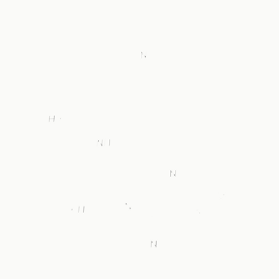 Cc1cc(C)c(-c2nc3[nH]ccc(=O)c3nc2-c2ccc3ncccc3c2)[nH]1